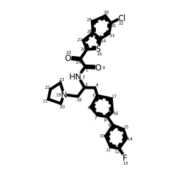 O=C(NC(Cc1ccc(-c2ccc(F)cc2)cc1)CN1CCCC1)C(=O)c1cc2ccc(Cl)cc2s1